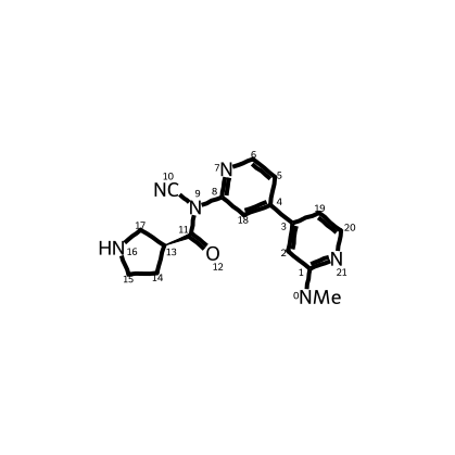 CNc1cc(-c2ccnc(N(C#N)C(=O)[C@H]3CCNC3)c2)ccn1